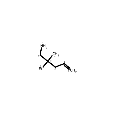 C=CCC(C)(CC)CN